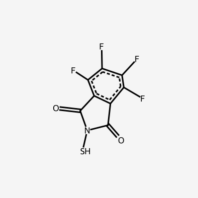 O=C1c2c(F)c(F)c(F)c(F)c2C(=O)N1S